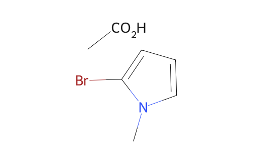 CC(=O)O.Cn1cccc1Br